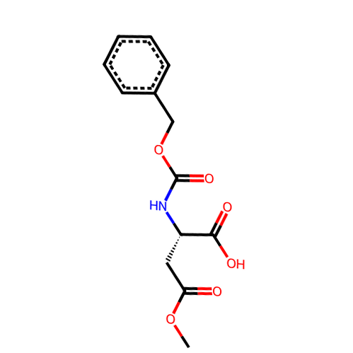 COC(=O)C[C@H](NC(=O)OCc1ccccc1)C(=O)O